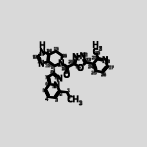 CCc1cccc2cc([C@@H]3c4nc[nH]c4CCN3C(=O)c3nnc(-c4cccnc4C)o3)nn12